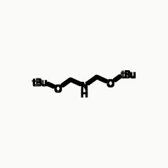 CC(C)(C)OCNCOC(C)(C)C